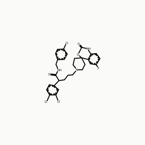 O=C1Nc2ccc(F)cc2C2(CCN(CCCC(C(=O)NCc3ccc(Cl)cc3)c3ccc(Cl)c(Cl)c3)CC2)O1